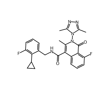 Cc1nnc(C)n1-n1c(C)c(C(=O)NCc2cccc(F)c2C2CC2)c2cccc(F)c2c1=O